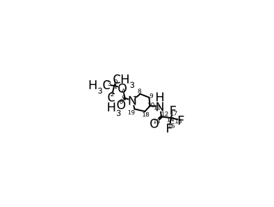 CC(C)(C)OC(=O)N1CCC(NC(=O)C(F)(F)F)CC1